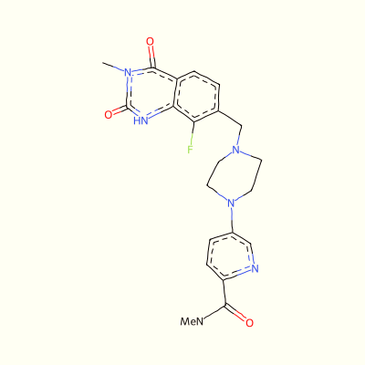 CNC(=O)c1ccc(N2CCN(Cc3ccc4c(=O)n(C)c(=O)[nH]c4c3F)CC2)cn1